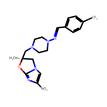 C[C@]1(CN2CCN(/N=C/c3ccc(C(F)(F)F)cc3)CC2)Cn2cc([N+](=O)[O-])nc2O1